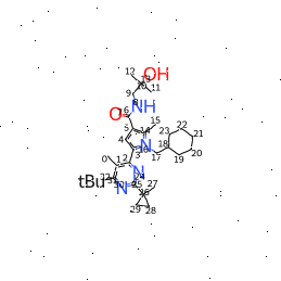 Cc1c(-c2cc(C(=O)NCC(C)(C)O)c(C)n2CC2CCCCC2)nc(C2(C)CC2)nc1C(C)(C)C